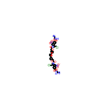 CN(C)CCNS(=O)(=O)c1ccc2c3c(cc([N+](=O)[O-])c2c1)N(C(=O)c1cc2cc(-c4ccc(-c5ccc6oc(C(=O)N7CC(CCl)c8c7cc([N+](=O)[O-])c7cc(S(=O)(=O)NCCN(C)C)ccc87)cc6c5)o4)ccc2o1)CC3CCl